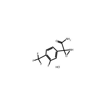 Cl.NC(=O)C1(c2ccc(C(F)(F)F)c(F)c2)NO1